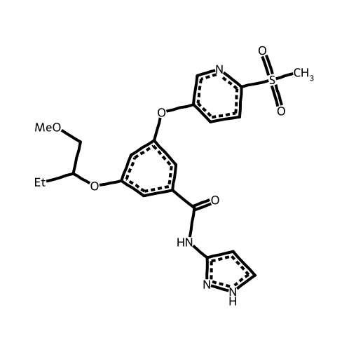 CCC(COC)Oc1cc(Oc2ccc(S(C)(=O)=O)nc2)cc(C(=O)Nc2cc[nH]n2)c1